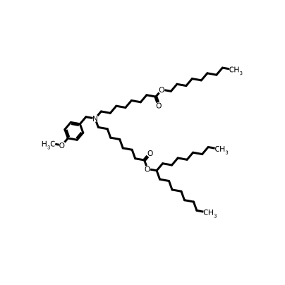 CCCCCCCCCOC(=O)CCCCCCCN(CCCCCCCC(=O)OC(CCCCCCCC)CCCCCCCC)Cc1ccc(OC)cc1